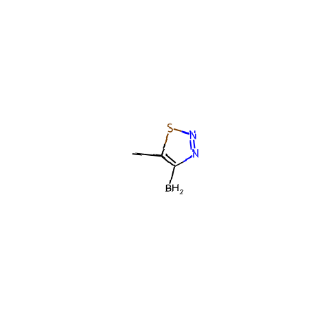 Bc1nnsc1C